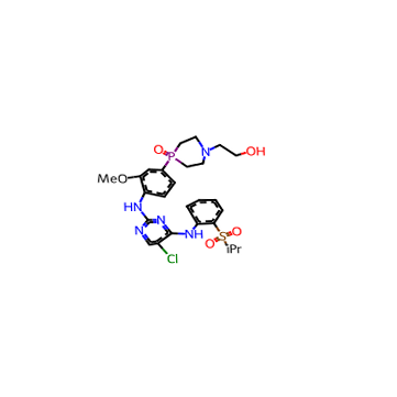 COc1cc(P2(=O)CCN(CCO)CC2)ccc1Nc1ncc(Cl)c(Nc2ccccc2S(=O)(=O)C(C)C)n1